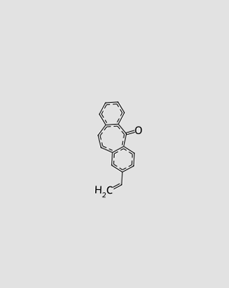 C=Cc1ccc2c(=O)c3ccccc3ccc2c1